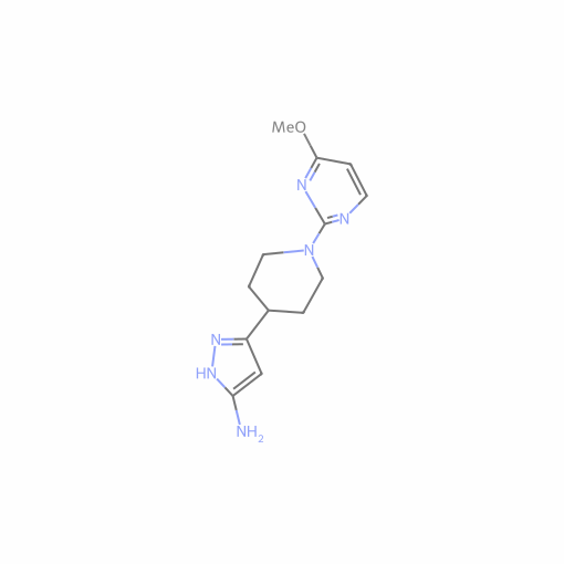 COc1ccnc(N2CCC(c3cc(N)[nH]n3)CC2)n1